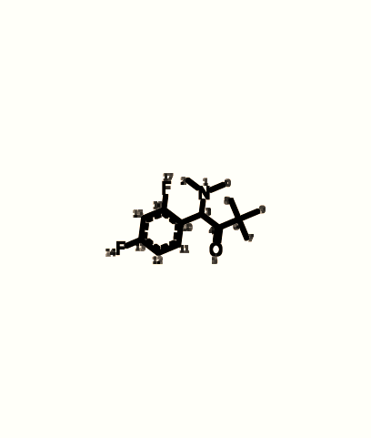 CN(C)C(C(=O)C(C)(C)C)c1ccc(F)cc1F